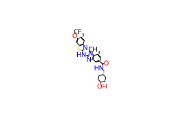 Cn1c(Nc2nc3ccc(OC(F)(F)F)cc3s2)nc2cc(C(=O)NC[C@H]3CC[C@H](O)CC3)ccc21